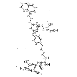 N=C(NCCCCc1ccc(OCCN(CCCc2cccc3ccccc23)C[C@H](O)CC[C@H](O)CO)cc1)NC(=O)c1nc(Cl)c(N)nc1N